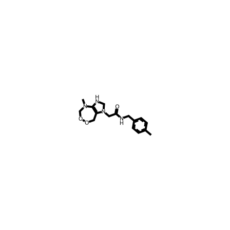 Cc1ccc(CNC(=O)CN2CNC3=C2COOCN3C)cc1